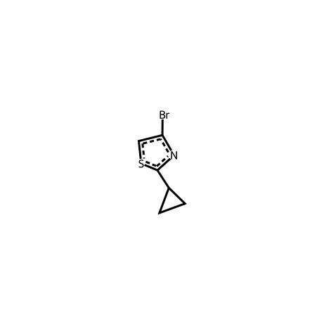 Brc1csc(C2CC2)n1